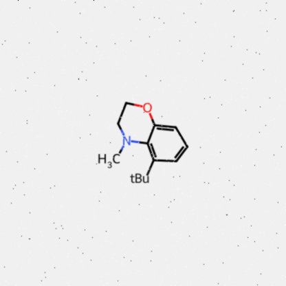 CN1CCOc2cccc(C(C)(C)C)c21